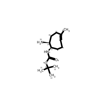 C/C1=C\CC[C@@H](NC(=O)OC(C)(C)C)[C@@H](N)CC1